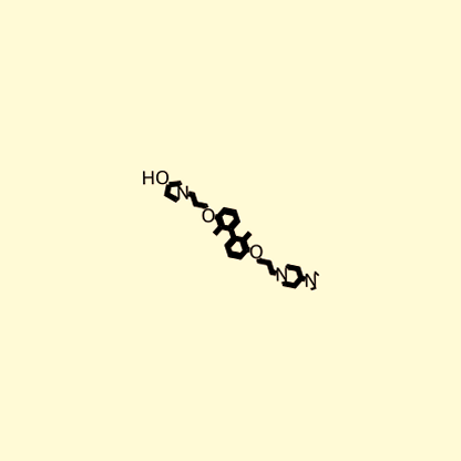 Cc1c(OCCCN2CCC(N(C)C)CC2)cccc1-c1cccc(OCCCN2CCC(O)C2)c1C